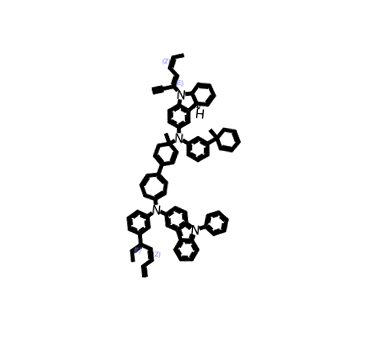 C#C/C(=C\C=C/C)N1c2ccc(N(c3cccc(C4(C)C=CC=CC4)c3)C3(C)C=CC(C4=CC=C(N(c5cccc(C(/C=C\C=C)=C/C)c5)c5ccc6c(c5)c5ccccc5n6-c5ccccc5)CC=C4)=CC3)cc2[C@@H]2C=CC=CC21